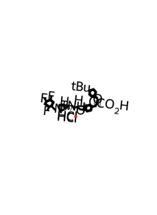 CC(C)(C)c1ccc(O[C@@](C)(Cc2ccc(OCCN[C@H]3C4CN(Cc5cc(F)c(F)cc5F)C[C@@H]43)cc2)C(=O)O)cc1.Cl.Cl